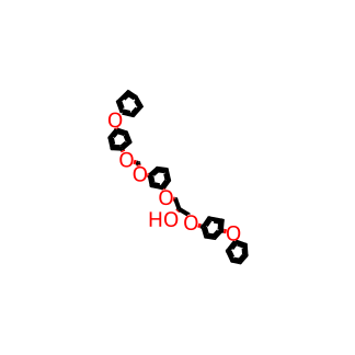 OC(COc1ccc(Oc2ccccc2)cc1)COc1cccc(OCOc2ccc(Oc3ccccc3)cc2)c1